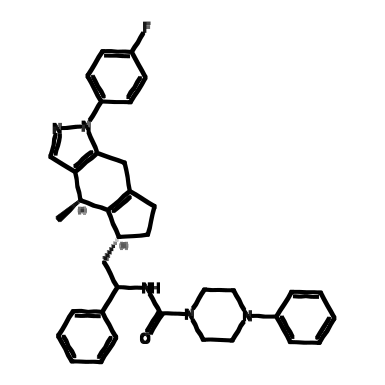 C[C@@H]1C2=C(CC[C@@H]2CC(NC(=O)N2CCN(c3ccccc3)CC2)c2ccccc2)Cc2c1cnn2-c1ccc(F)cc1